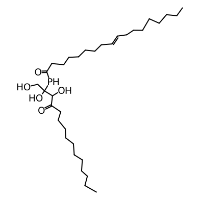 CCCCCCCCC=CCCCCCCCC(=O)PC(O)(CO)C(O)C(=O)CCCCCCCCCCC